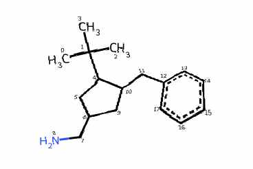 CC(C)(C)C1CC(CN)CC1Cc1ccccc1